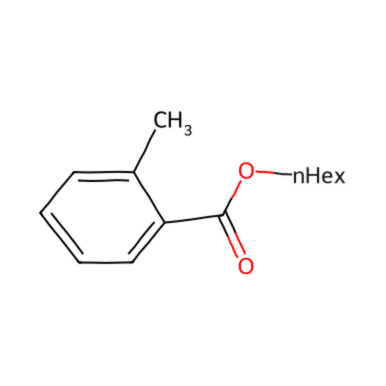 CCCCCCOC(=O)c1ccccc1C